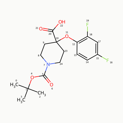 CC(C)(C)OC(=O)N1CCC(Oc2ccc(F)cc2F)(C(=O)O)CC1